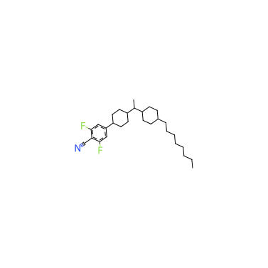 CCCCCCCCC1CCC(C(C)C2CCC(c3cc(F)c(C#N)c(F)c3)CC2)CC1